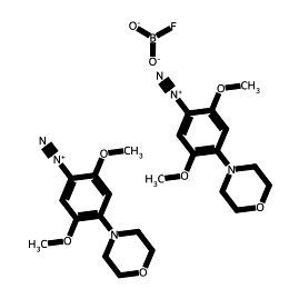 COc1cc(N2CCOCC2)c(OC)cc1[N+]#N.COc1cc(N2CCOCC2)c(OC)cc1[N+]#N.[O-]B([O-])F